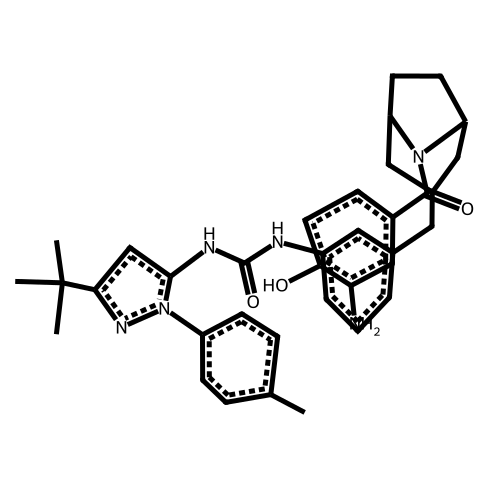 Cc1ccc(-n2nc(C(C)(C)C)cc2NC(=O)Nc2cccc(CC3CC4CCC(C3)N4C(=O)c3ccc(O)c(N)c3)c2)cc1